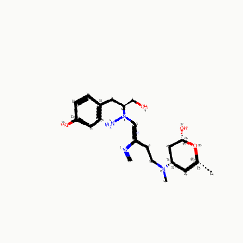 C=N/C(=C\N(N)[C@H](CO)Cc1ccc(O)cc1)CCN(C)[C@H]1C[C@@H](C)O[C@@H](O)C1